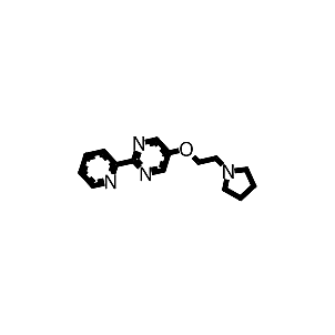 c1ccc(-c2ncc(OCCN3CCCC3)cn2)nc1